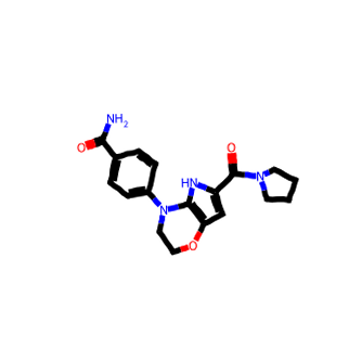 NC(=O)c1ccc(N2CCOc3cc(C(=O)N4CCCC4)[nH]c32)cc1